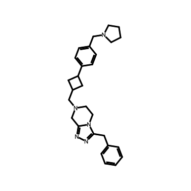 c1ccc(Cc2nnc3n2CCN(CC2CC(c4ccc(CN5CCCC5)cc4)C2)C3)cc1